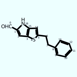 O=Cc1cc2sc(CCc3ccccc3)cc2[nH]1